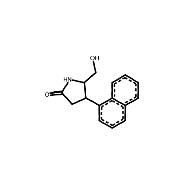 O=C1CC(c2cccc3ccccc23)C(CO)N1